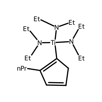 CCCC1=[C]([Ti]([N](CC)CC)([N](CC)CC)[N](CC)CC)CC=C1